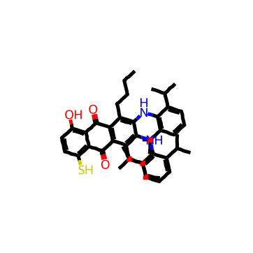 CCCCc1c(Nc2c(C(C)C)cccc2C(C)C)c(Nc2c(C(C)C)cccc2C(C)C)c(CCCC)c2c1C(=O)c1c(O)ccc(S)c1C2=O